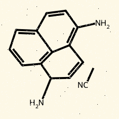 CC#N.Nc1ccc2cccc3c2c1C=CC3N